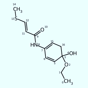 CCOC1(O)C=CC(NC(=O)C=CSC)=CC1